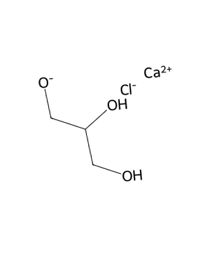 [Ca+2].[Cl-].[O-]CC(O)CO